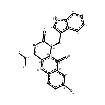 CC(C)[C@@H]1NC(=O)[C@@H](Cc2c[nH]c3ccccc23)n2c1nc1ccc(Br)cc1c2=O